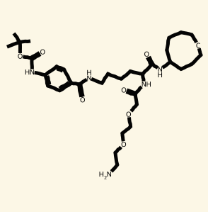 CC(C)(C)OC(=O)Nc1ccc(C(=O)NCCCCC(NC(=O)COCCOCCN)C(=O)NC2CCCCCCCC2)cc1